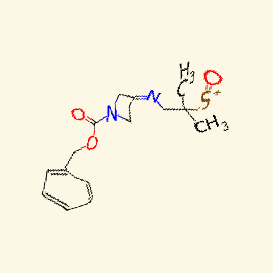 CC(C)(CN=C1CN(C(=O)OCc2ccccc2)C1)[S+]=O